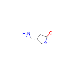 NC[C@H]1CNC(=O)C1